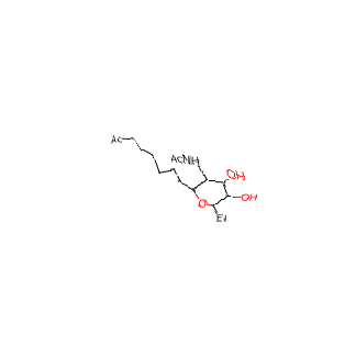 CCC1OC(CCCCCCC(C)=O)C(NC(C)=O)C(O)C1O